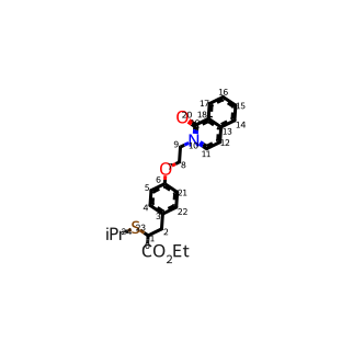 CCOC(=O)C(Cc1ccc(OCCn2ccc3ccccc3c2=O)cc1)SC(C)C